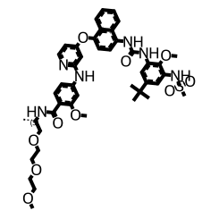 COCCOCCOC[C@H](C)NC(=O)c1ccc(Nc2cc(Oc3ccc(NC(=O)Nc4cc(C(C)(C)C)cc(NS(C)(=O)=O)c4OC)c4ccccc34)ccn2)cc1OC